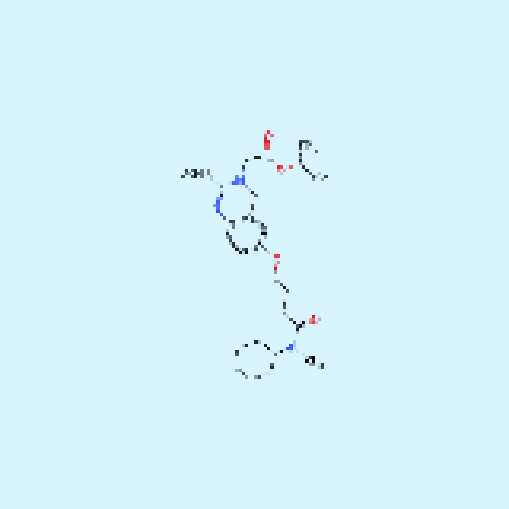 CC(=O)NC1=Nc2ccc(OCCCC(=O)N(C)C3CCCCC3)cc2CN1CC(=O)OC(C)C(C)(C)C